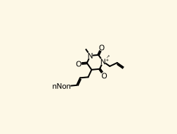 C=CC[N@@+]1(C)C(=O)C(C/C=C/CCCCCCCCC)C(=O)N(C)C1=O